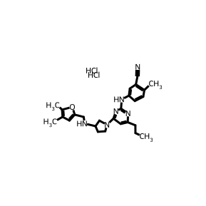 CCCc1cc(N2CCC(NCc3cc(C)c(C)o3)C2)nc(Nc2ccc(C)c(C#N)c2)n1.Cl.Cl